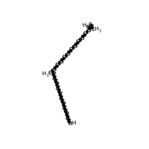 CCC(C)C(=O)OCCOCCOCCOCCOCCOCCOCCOCCOCCOCCOCC(C)OCCOCCOCCOCCOCCOCCOCCOCCOCCOCCO